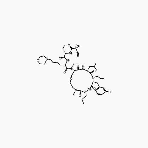 C#CC1(C(=O)N[C@@H](CC)C(=O)N[C@@H](CCCCN2CCOCC2)C(=O)N(C)[C@H]2CCCCN(C)C(=O)[C@@H](CCC)NC(=O)[C@H](Cc3cccc(Cl)c3)N(CCC)C(=O)[C@H](CC(C)C)NC2=O)CC1